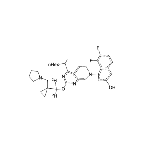 [2H]C([2H])(Oc1nc(C(C)CCCCCC)c2c(n1)=CN(c1cc(O)cc3ccc(F)c(F)c13)CC=2)C1(CN2CCCC2)CC1